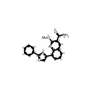 COc1nc2c(-c3coc(-c4ccccc4)n3)cccc2cc1C(N)=O